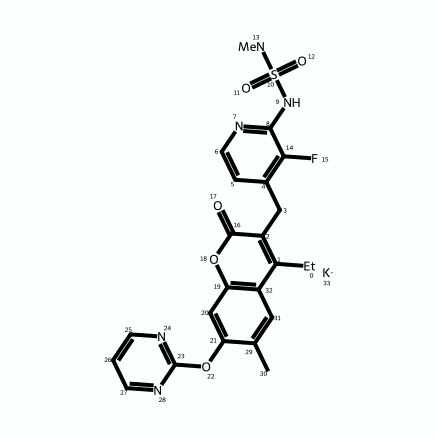 CCc1c(Cc2ccnc(NS(=O)(=O)NC)c2F)c(=O)oc2cc(Oc3ncccn3)c(C)cc12.[K]